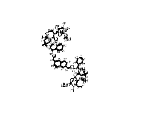 CC[C@@H](C)C(=O)N[C@H]1CCS[C@H]2CC(C)(C)C(C(=O)N[C@H](COCc3ccc4cc(COC[C@@H](CC(=O)[C@H]5N6C(=O)[C@@H](NC(=O)[C@H](C)N(C)C(=O)OC(C)(C)C)CCS[C@H]6CC5(C)C)c5ccccc5)ccc4c3)c3ccccc3)N2C1=O